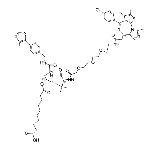 Cc1ncsc1-c1ccc(CNC(=O)[C@@H]2C[C@@H](OC(=O)CCCCCCCCC(=O)O)CN2C(=O)[C@@H](NC(=O)COCCOCCOCCNC(=O)C[C@@H]2N=C(c3ccc(Cl)cc3)c3c(sc(C)c3C)-n3c(C)nnc32)C(C)(C)C)cc1